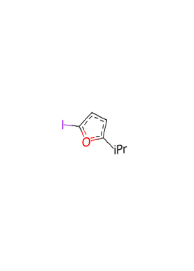 CC(C)c1ccc(I)o1